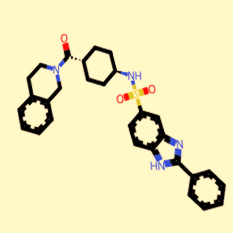 O=C([C@H]1CC[C@H](NS(=O)(=O)c2ccc3[nH]c(-c4ccccc4)nc3c2)CC1)N1CCc2ccccc2C1